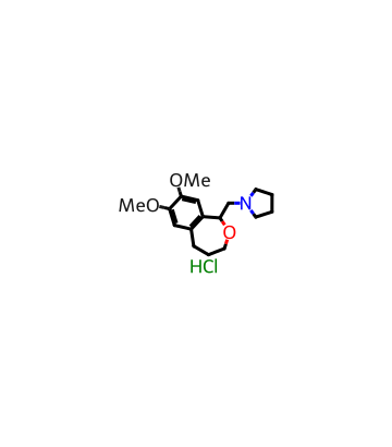 COc1cc2c(cc1OC)C(CN1CCCC1)OCCC2.Cl